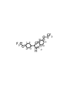 C[C@H](NC(=O)c1ccc(OC(F)(F)F)cc1)c1ccc(OCC(F)(F)F)cn1